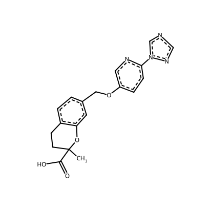 CC1(C(=O)O)CCc2ccc(COc3ccc(-n4cncn4)nc3)cc2O1